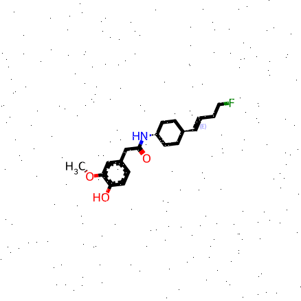 COc1cc(CC(=O)N[C@H]2CC[C@H](/C=C/CCF)CC2)ccc1O